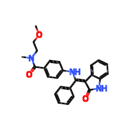 COCCN(C)C(=O)c1ccc(NC(=C2C(=O)Nc3ccccc32)c2ccccc2)cc1